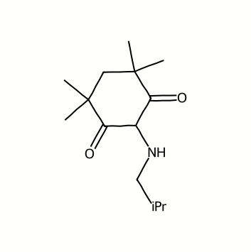 CC(C)CNC1C(=O)C(C)(C)CC(C)(C)C1=O